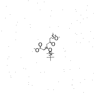 COC(=O)C[C@@H](CC(=O)C[S+](C)[O-])O[Si](C)(C)C(C)(C)C